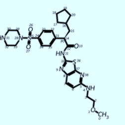 COCCNc1ccc2nc(NC(=O)[C@H](CC3CCCC3)c3ccc(S(=O)(=O)N4CCNCC4)cc3)sc2n1